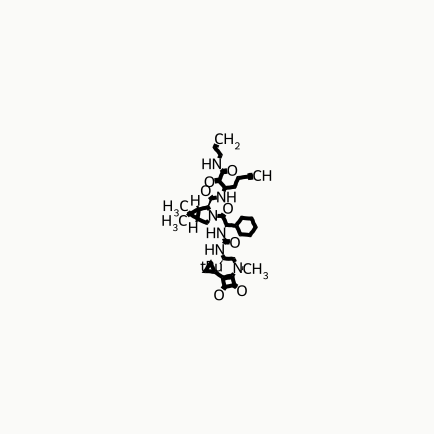 C#CCCC(NC(=O)[C@@H]1[C@@H]2[C@H](CN1C(=O)[C@@H](NC(=O)N[C@H](CN(C)c1c(C3CC3)c(=O)c1=O)C(C)(C)C)C1CCCCC1)C2(C)C)C(=O)C(=O)NCC=C